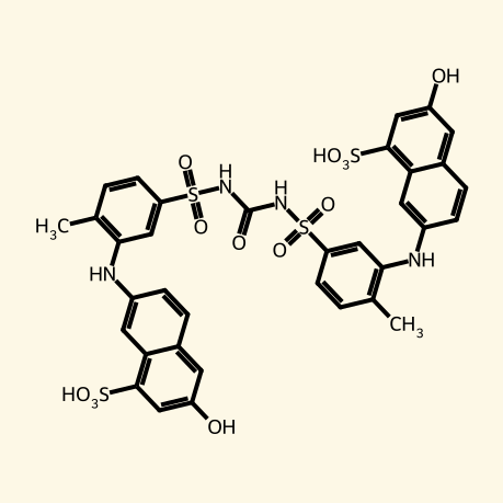 Cc1ccc(S(=O)(=O)NC(=O)NS(=O)(=O)c2ccc(C)c(Nc3ccc4cc(O)cc(S(=O)(=O)O)c4c3)c2)cc1Nc1ccc2cc(O)cc(S(=O)(=O)O)c2c1